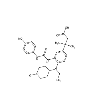 CCN(c1ccc(C(C)(C)CC(=O)O)cc1NC(=O)Nc1ccc(O)cc1)C1CC[S+]([O-])CC1